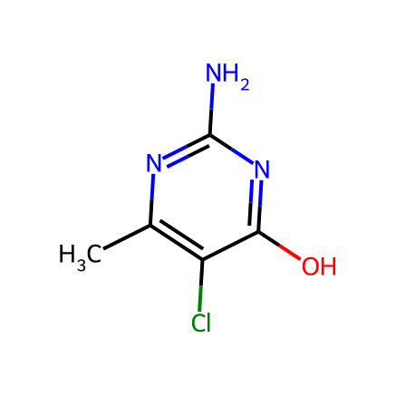 Cc1nc(N)nc(O)c1Cl